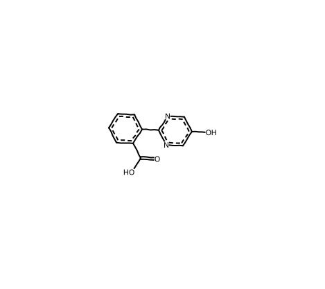 O=C(O)c1ccccc1-c1ncc(O)cn1